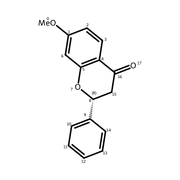 COc1ccc2c(c1)O[C@@H](c1ccccc1)CC2=O